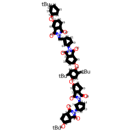 CC(C)(C)Oc1ccc2c(c1)C(=O)N(c1cccc(N3C(=O)c4ccc(Oc5cc(C(C)(C)C)c(Oc6ccc7c(c6)C(=O)N(c6cccc(CN8C(=O)c9ccc(Oc%10cccc(C(C)(C)C)c%10)cc9C8=O)c6)C7=O)cc5C(C)(C)C)cc4C3=O)c1)C2=O